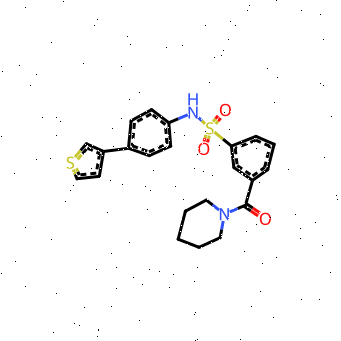 O=C(c1cccc(S(=O)(=O)Nc2ccc(-c3ccsc3)cc2)c1)N1CCCCC1